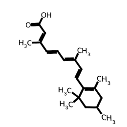 CC(C=CC1=C(C)CC(C)CC1(C)C)=CC=CC(C)=CC(=O)O